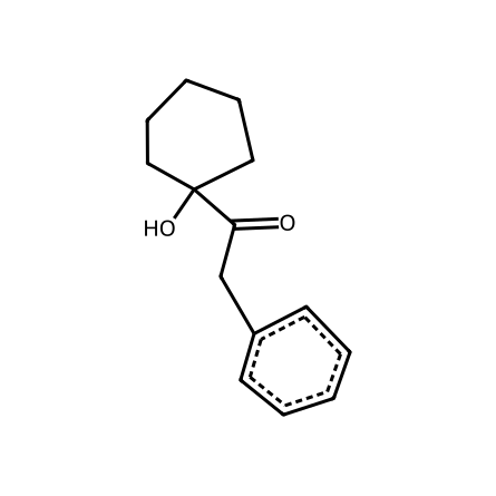 O=C(Cc1ccccc1)C1(O)CCCCC1